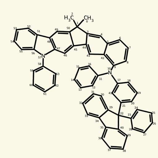 CC1(C)c2cc3cccc(N(c4ccccc4)c4cccc(C5(c6ccccc6)c6ccccc6-c6ccccc65)c4)c3cc2-c2cc3c(cc21)c1ccccc1n3-c1ccccc1